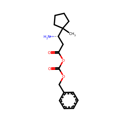 CC1([C@@H](N)CC(=O)OC(=O)OCc2ccccc2)CCCC1